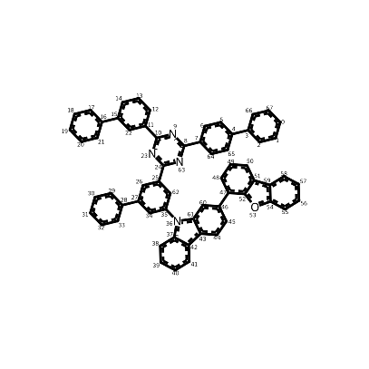 c1ccc(-c2ccc(-c3nc(-c4cccc(-c5ccccc5)c4)nc(-c4cc(-c5ccccc5)cc(-n5c6ccccc6c6ccc(-c7cccc8c7oc7ccccc78)cc65)c4)n3)cc2)cc1